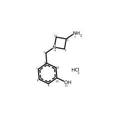 Cl.NC1CN(Cc2cccc(O)c2)C1